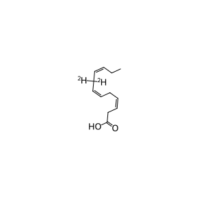 [2H]C([2H])(/C=C\CC)/C=C\C/C=C\CC(=O)O